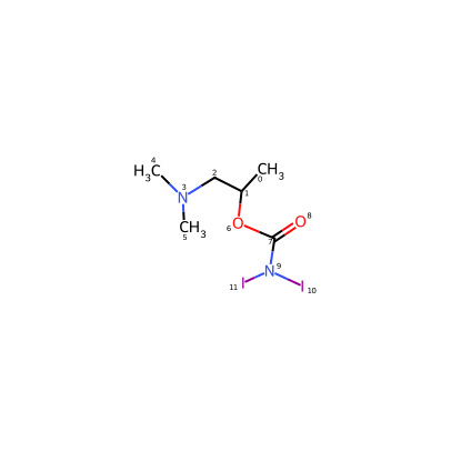 CC(CN(C)C)OC(=O)N(I)I